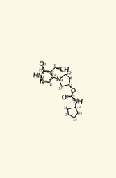 C=Cc1c(N2CC[C@@H](OC(=O)NC3CCCC3)C2)cn[nH]c1=O